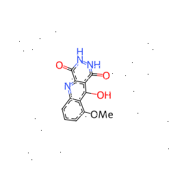 COc1cccc2nc3c(=O)[nH][nH]c(=O)c3c(O)c12